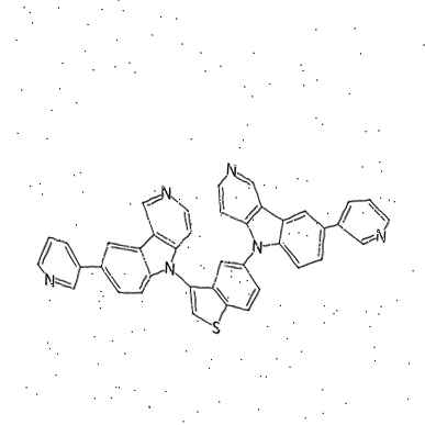 c1cncc(-c2ccc3c(c2)c2cnccc2n3-c2ccc3scc(-n4c5ccncc5c5cc(-c6cccnc6)ccc54)c3c2)c1